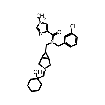 Cn1cnc(C(=O)N(Cc2cccc(Cl)c2)CC2C3CN(CC4(O)CCCCC4)CC32)c1